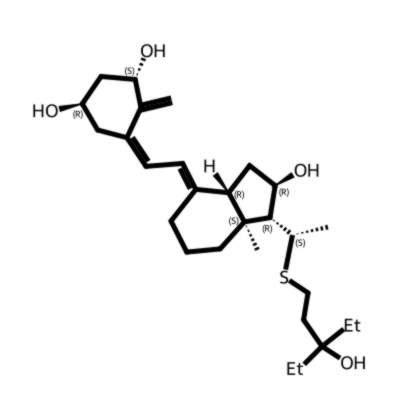 C=C1C(=CC=C2CCC[C@]3(C)[C@@H]([C@H](C)SCCC(O)(CC)CC)[C@H](O)C[C@@H]23)C[C@@H](O)C[C@@H]1O